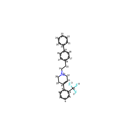 FC(F)(F)c1ccccc1C1=CCN(CCc2ccc(-c3ccccc3)cc2)CC1